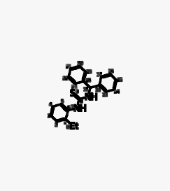 CCc1ccccc1NC(=S)NC(c1ccccc1)c1ccccc1